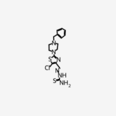 NC(=S)NN=Cc1nc(N2CCN(Cc3ccccc3)CC2)sc1Cl